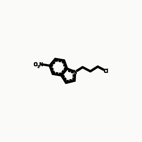 O=[N+]([O-])c1ccc2c(ccn2CCCCl)c1